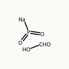 O=CO.O=[P](=O)[Na]